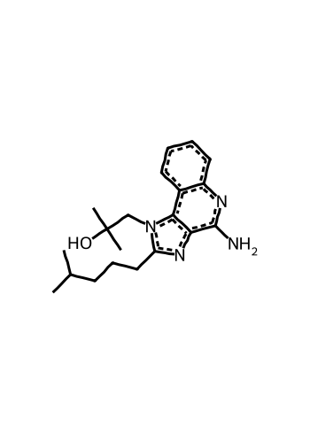 CC(C)CCCc1nc2c(N)nc3ccccc3c2n1CC(C)(C)O